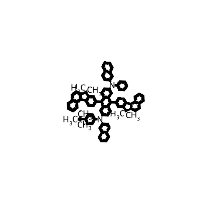 CC(C)(C)c1ccc(N(c2ccc3ccccc3c2)c2ccc3c(-c4ccc5c(c4)C(C)(C)c4ccc6ccccc6c4-5)c4cc(N(c5ccccc5)c5ccc6ccccc6c5)ccc4c(-c4ccc5c(c4)C(C)(C)c4ccc6ccccc6c4-5)c3c2)cc1